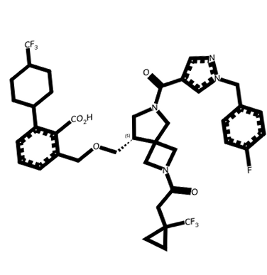 O=C(O)c1c(COC[C@@H]2CN(C(=O)c3cnn(Cc4ccc(F)cc4)c3)CC23CN(C(=O)CC2(C(F)(F)F)CC2)C3)cccc1C1CCC(C(F)(F)F)CC1